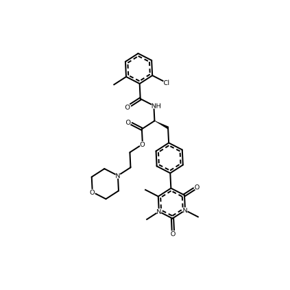 Cc1cccc(Cl)c1C(=O)N[C@@H](Cc1ccc(-c2c(C)n(C)c(=O)n(C)c2=O)cc1)C(=O)OCCN1CCOCC1